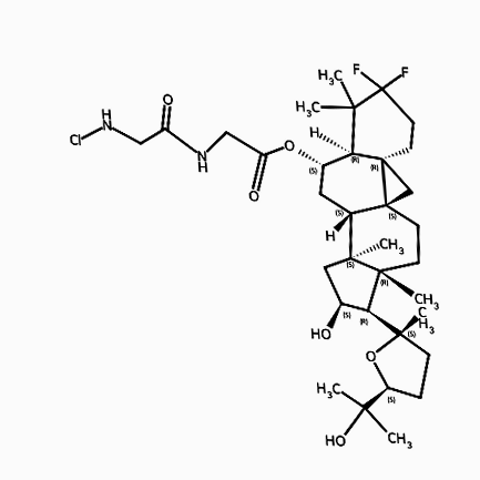 CC(C)(O)[C@@H]1CC[C@@](C)([C@H]2[C@@H](O)C[C@@]3(C)[C@@H]4C[C@H](OC(=O)CNC(=O)CNCl)[C@H]5C(C)(C)C(F)(F)CC[C@@]56C[C@@]46CC[C@]23C)O1